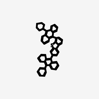 c1ccc(-c2c3ccccc3c(-c3ccc4c(c3)sc3c(-c5c6ccccc6c(C6CCCCC6)c6ccccc56)cccc34)c3ccccc23)cc1